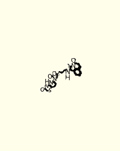 C[C@@H]1[C@@H](NCCC[C@H]2CN(c3ccc4c(n3)NC(=O)CS4)C(=O)O2)c2cccc3ccc(=O)n1c23